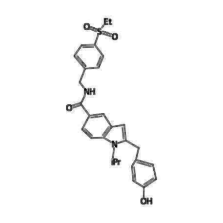 CCS(=O)(=O)c1ccc(CNC(=O)c2ccc3c(c2)cc(Cc2ccc(O)cc2)n3C(C)C)cc1